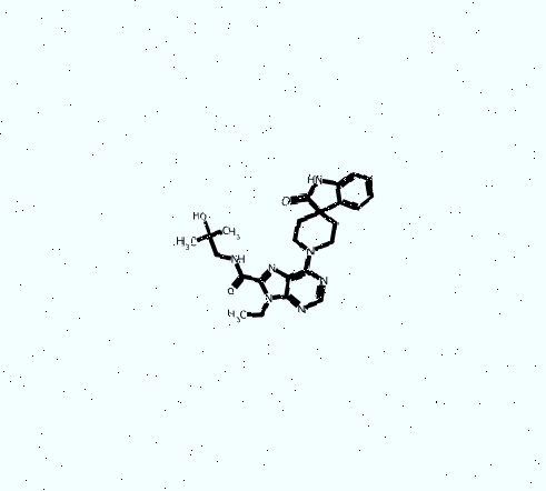 CCn1c(C(=O)NCC(C)(C)O)nc2c(N3CCC4(CC3)C(=O)Nc3ccccc34)ncnc21